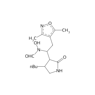 CCCCC1CNC(=O)C1C(Cc1c(C)noc1C)N(O)C=O